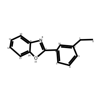 CCc1cccc(-c2nc3ccccc3o2)c1